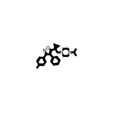 Cc1ccc(-c2noc(C3(CN4CCN(C(C)C)CC4)CC3)c2-c2ccccc2)cc1